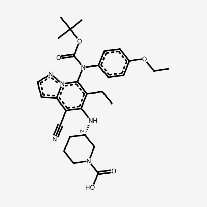 CCOc1ccc(N(C(=O)OC(C)(C)C)c2c(CC)c(N[C@H]3CCCN(C(=O)O)C3)c(C#N)c3ccnn23)cc1